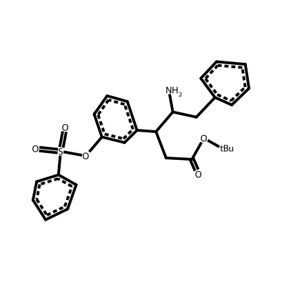 CC(C)(C)OC(=O)CC(c1cccc(OS(=O)(=O)c2ccccc2)c1)C(N)Cc1ccccc1